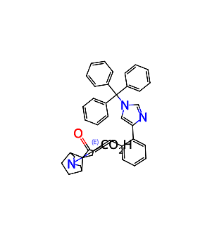 O=C(O)N1CC2CCC(C1)C21C/C(=C\c2ccccc2-c2cn(C(c3ccccc3)(c3ccccc3)c3ccccc3)cn2)C1=O